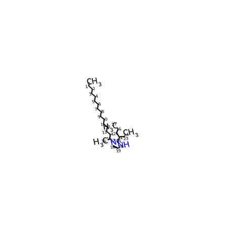 CCCCCCCCCCCCCCCC(C)[n+]1cc[nH]c1C(CC)CCC